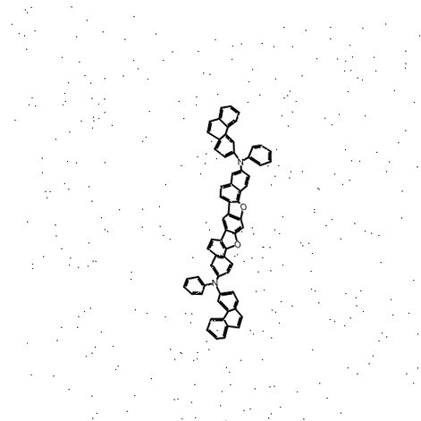 c1ccc(N(c2ccc3c(ccc4c5cc6c(cc5oc34)oc3c4ccc(N(c5ccccc5)c5ccc7ccc8ccccc8c7c5)cc4ccc63)c2)c2ccc3ccc4ccccc4c3c2)cc1